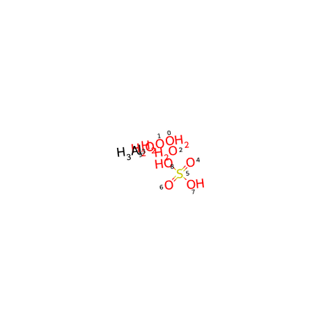 O.O.O.O.O=S(=O)(O)O.[AlH3]